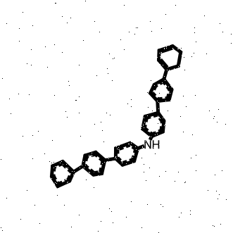 C1=CCCC(c2ccc(-c3ccc(Nc4ccc(-c5ccc(-c6ccccc6)cc5)cc4)cc3)cc2)=C1